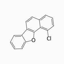 Clc1cccc2ccc3c4ccccc4oc3c12